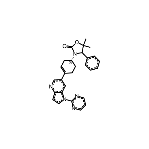 CC1(C)OC(=O)N([C@H]2CC=C(c3cnc4ccn(-c5ncccn5)c4c3)CC2)C1c1ccccc1